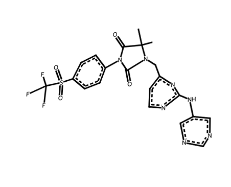 CC1(C)C(=O)N(c2ccc(S(=O)(=O)C(F)(F)F)cc2)C(=O)N1Cc1ccnc(Nc2cncnc2)n1